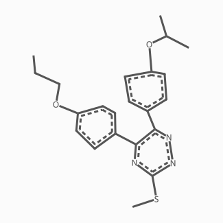 CCCOc1ccc(-c2nc(SC)nnc2-c2ccc(OC(C)C)cc2)cc1